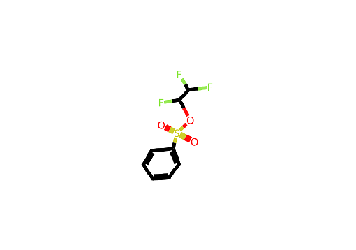 O=S(=O)(OC(F)C(F)F)c1ccccc1